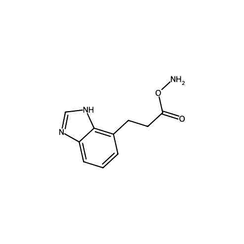 NOC(=O)CCc1cccc2nc[nH]c12